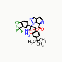 CC(C)(C)c1ccc(CC(C(N)=O)(c2ccc(Cl)c(C(F)(F)F)c2)n2ncc3ccnc(C(=O)O)c32)cc1